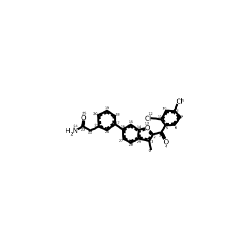 Cc1c(C(=O)c2ccc(Cl)cc2Cl)oc2cc(-c3cccc(CC(N)=O)c3)ccc12